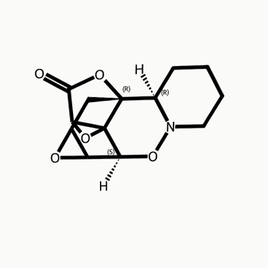 O=C1O[C@]23CC4OC4[C@H](ON4CCCC[C@@H]42)C32OC12